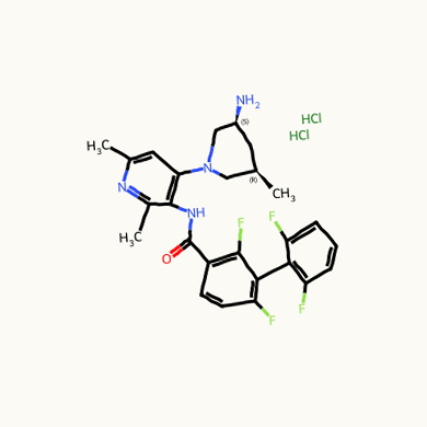 Cc1cc(N2C[C@H](C)C[C@H](N)C2)c(NC(=O)c2ccc(F)c(-c3c(F)cccc3F)c2F)c(C)n1.Cl.Cl